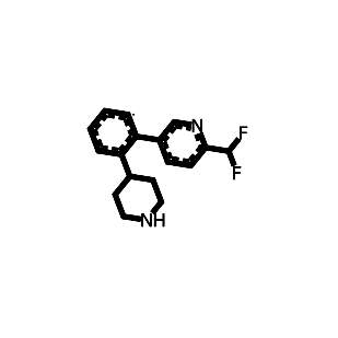 FC(F)c1ccc(-c2[c]cccc2C2CCNCC2)cn1